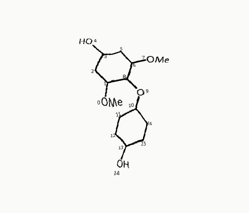 COC1CC(O)CC(OC)C1OC1CCC(O)CC1